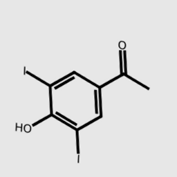 CC(=O)c1cc(I)c(O)c(I)c1